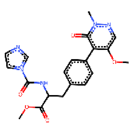 COC(=O)C(Cc1ccc(-c2c(OC)cnn(C)c2=O)cc1)NC(=O)n1ccnc1